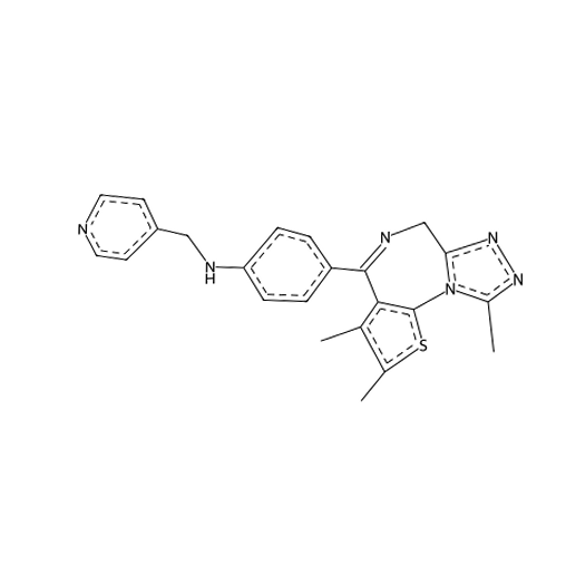 Cc1sc2c(c1C)C(c1ccc(NCc3ccncc3)cc1)=NCc1nnc(C)n1-2